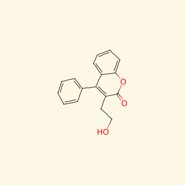 O=c1oc2ccccc2c(-c2ccccc2)c1CCO